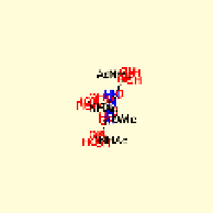 COCC(O)C(=O)N(CCCCN(CCCNC(=O)CCCCCCO[C@@H]1OC(CO)[C@H](O)C(O)C1NC(C)=O)C(=O)CCCCCCO[C@@H]1OC(CO)[C@H](O)C(O)C1NC(C)=O)CCCNC(=O)CCCCCCO[C@@H]1OC(CO)[C@H](O)C(O)C1NC(C)=O